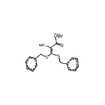 COC(=O)C(C#N)=C(SCc1ccccc1)SCc1ccccc1